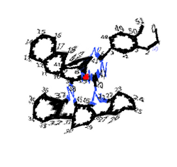 C/C=C\c1cc(-c2nc(-c3ccc4ccccc4c3)nc(-n3c4ccccc4c4ccc5c6ccccc6n(-c6ccccc6)c5c43)n2)ccc1C